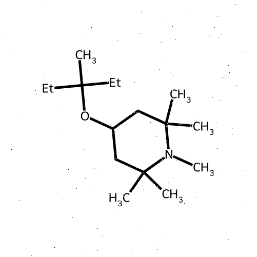 CCC(C)(CC)OC1CC(C)(C)N(C)C(C)(C)C1